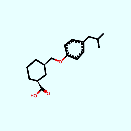 CC(C)Cc1ccc(OC[C@@H]2CCC[C@H](C(=O)O)C2)cc1